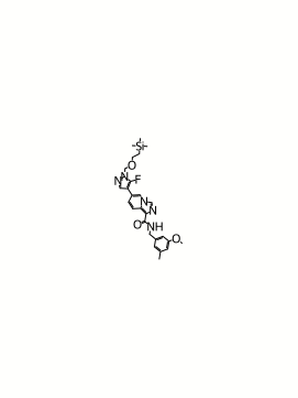 COc1cc(C)cc(CNC(=O)c2ncn3cc(-c4cnn(COCC[Si](C)(C)C)c4F)ccc23)c1